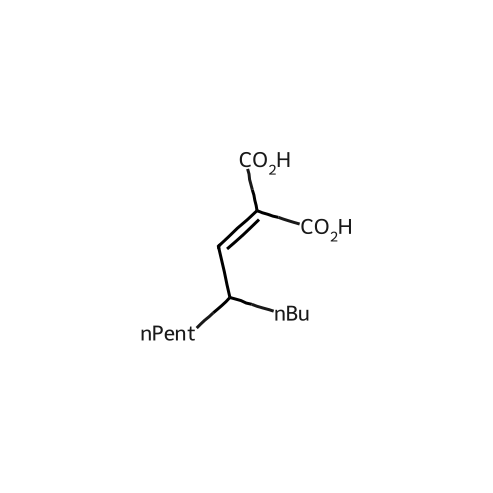 CCCCCC(C=C(C(=O)O)C(=O)O)CCCC